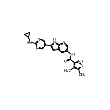 Cc1n[nH]c(C(=O)Nc2cnc3[nH]c(-c4cnc(NC5CC5)nc4)cc3c2)c1C